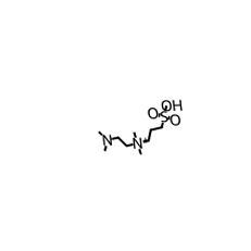 CN(C)CC[N+](C)(C)CCCS(=O)(=O)O